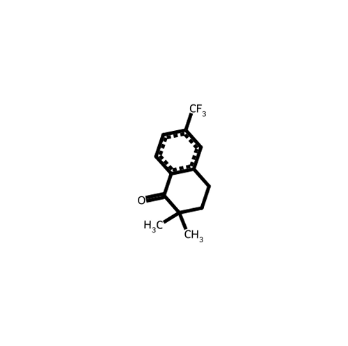 CC1(C)CCc2cc(C(F)(F)F)ccc2C1=O